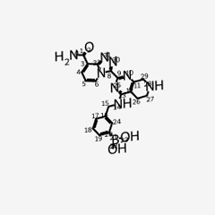 NC(=O)c1cccn2c(-c3nc4c(c(NCc5cccc(B(O)O)c5)n3)CCNC4)nnc12